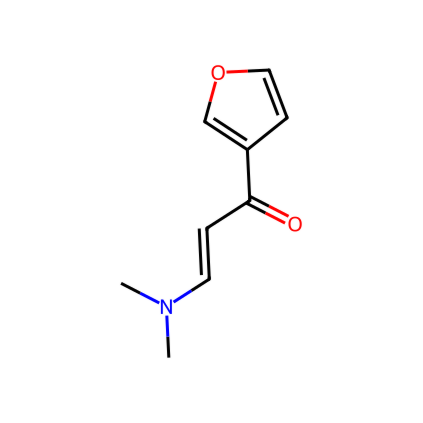 CN(C)C=CC(=O)c1ccoc1